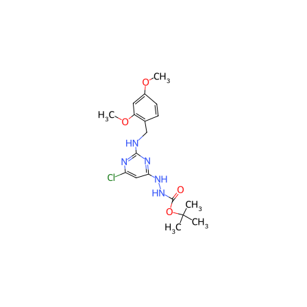 COc1ccc(CNc2nc(Cl)cc(NNC(=O)OC(C)(C)C)n2)c(OC)c1